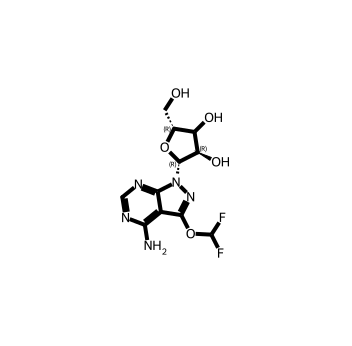 Nc1ncnc2c1c(OC(F)F)nn2[C@@H]1O[C@H](CO)C(O)[C@H]1O